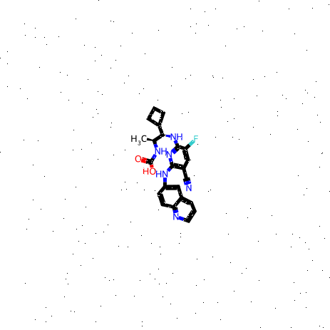 C[C@H](NC(=O)O)[C@H](Nc1nc(Nc2ccc3ncccc3c2)c(C#N)cc1F)C1CCC1